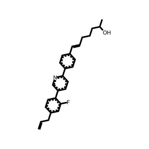 C=CCc1ccc(-c2ccc(-c3ccc(C=CCCCC(C)O)cc3)nc2)c(F)c1